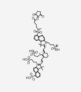 CN(CCCC(=O)ON1C(=O)CCC1=O)S(=O)(=O)c1cccc2c3c(ccc12)N(CCCS(=O)(=O)O)/C(=C/C=C1\CCCC(/C=C/C2=[N+](CCCS(=O)(=O)O)c4ccc5c(S(=O)(=O)O)cccc5c4C2(C)C)=C1SCCS(=O)(=O)O)C3(C)C